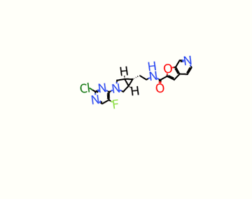 O=C(NCC[C@@H]1[C@H]2CN(c3nc(Cl)ncc3F)C[C@@H]12)c1cc2ccncc2o1